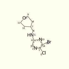 Clc1ncc(NCC2CCOCC2)nc1Br